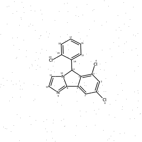 Clc1cc(Cl)c2c(c1)-c1nccn1C2c1ccccc1Cl